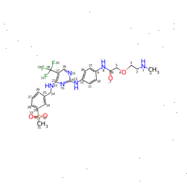 CNCCOCC(=O)Nc1ccc(Nc2ncc(C(F)(F)F)c(NCc3cccc(S(C)(=O)=O)c3)n2)cc1